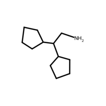 NCC(C1CCCC1)C1CCCC1